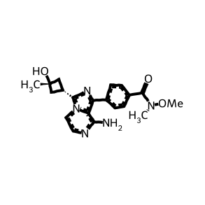 CON(C)C(=O)c1ccc(-c2nc([C@H]3C[C@@](C)(O)C3)n3ccnc(N)c23)cc1